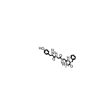 NC(=O)[C@H](Cc1ccccc1)NC(=O)CNC(=O)CNC(=O)[C@@H](N)Cc1ccc(O)cc1